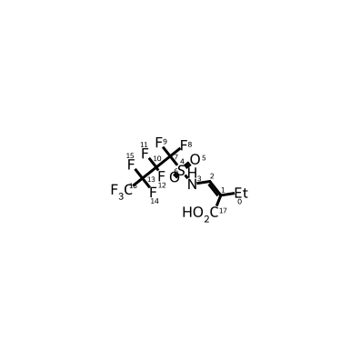 CCC(=CNS(=O)(=O)C(F)(F)C(F)(F)C(F)(F)C(F)(F)F)C(=O)O